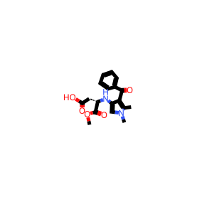 COC(=O)[C@H](CC(=O)O)Nc1cn(C)c(C)c1C(=O)c1ccccc1